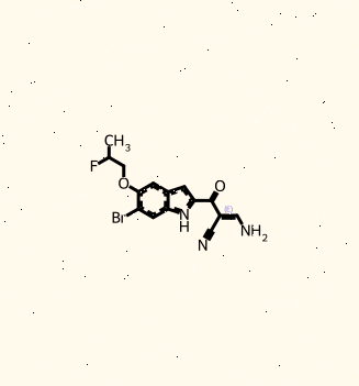 CC(F)COc1cc2cc(C(=O)/C(C#N)=C/N)[nH]c2cc1Br